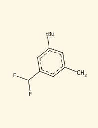 Cc1cc(C(F)F)cc(C(C)(C)C)c1